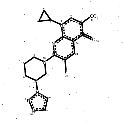 O=C(O)c1cn(C2CC2)c2nc(N3CCCC(n4ccnn4)C3)c(F)cc2c1=O